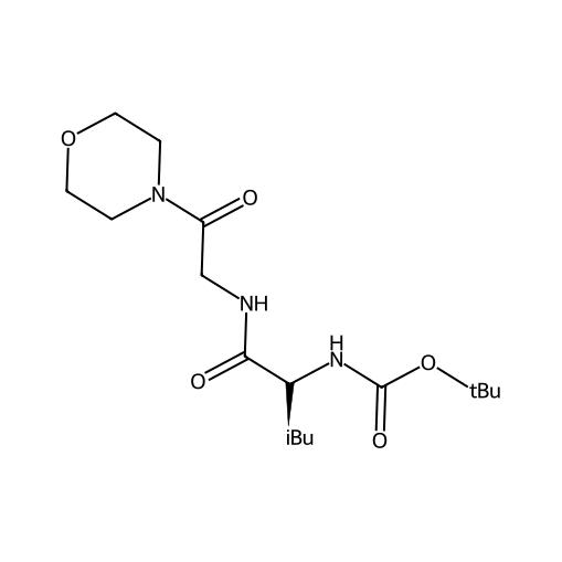 CC[C@H](C)C(NC(=O)OC(C)(C)C)C(=O)NCC(=O)N1CCOCC1